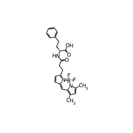 Cc1cc(C)n2c1C=C1C=CC(CCC(=O)N[C@@H](CCc3ccccc3)C(=O)O)=[N+]1[B-]2(F)F